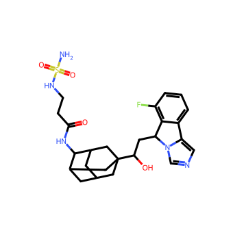 NS(=O)(=O)NCCC(=O)NC1C2CC3CC1CC(C(O)CC1c4c(F)cccc4-c4cncn41)(C3)C2